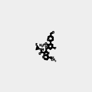 CNc1ccnn2c(C(=O)N[C@@H]3C[C@@H]3F)c(Nc3cc(F)cc(-c4ccc(C=O)cn4)c3OC)nc12